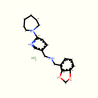 Cl.c1cc(CNCc2ccc(N3CCCCCC3)nc2)c2c(c1)OCO2